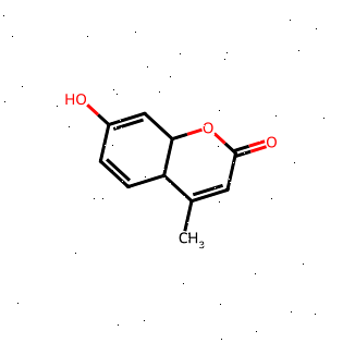 CC1=CC(=O)OC2C=C(O)C=CC12